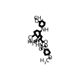 COc1ccc(S(=O)(=O)NC(=O)c2cc3c(Nc4cccc(OC)c4)ccc(Cl)c3n2C)cc1.[NaH]